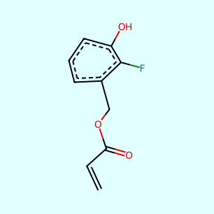 C=CC(=O)OCc1cccc(O)c1F